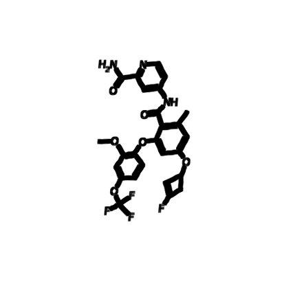 COc1cc(OC(F)(F)F)ccc1Oc1cc(OC2C=C(F)C2)cc(C)c1C(=O)Nc1ccnc(C(N)=O)c1